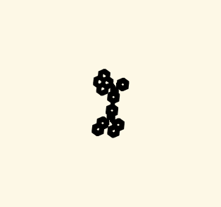 C1=CC2=CC(N(c3ccccc3)c3ccc(-c4ccc(N(c5ccc6ccccc6c5)c5cccc6ccccc56)cc4)cc3)=C3C=CC=C4C=CC(=C1)C2C43